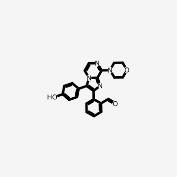 O=Cc1ccccc1-c1nc2c(N3CCOCC3)nccn2c1-c1ccc(O)cc1